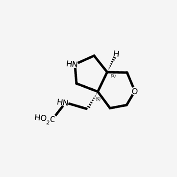 O=C(O)NC[C@@]12CCOC[C@@H]1CNC2